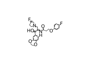 O=C(CCOc1ccc(F)cc1)N[C@H](CN1CC[C@@H](F)C1)[C@H](O)c1ccc2c(c1)OCCO2